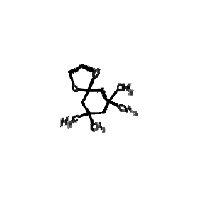 CC1(C)CC(C)(C)CC2(C1)OCCO2